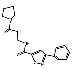 O=C(NCCC(=O)N1CCCC1)c1cc(-c2ccccc2)no1